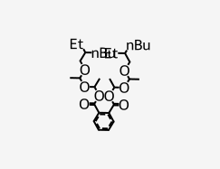 CCCCC(CC)COC(C)OC(C)OC(=O)c1ccccc1C(=O)OC(C)OC(C)OCC(CC)CCCC